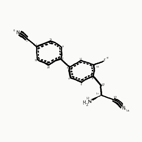 N#Cc1ccc(-c2ccc(C[C@H](N)C#N)c(F)c2)cc1